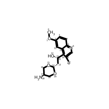 COc1ccc2ncc(F)c([C@@H](O)C[C@H]3OC[C@H](N)CO3)c2c1